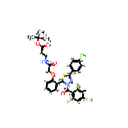 CC(C)(C)OC(=O)CCNC(=O)COc1ccccc1C1SC(c2ccc(F)cc2)=NN1C(=O)c1c(F)cc(F)cc1F